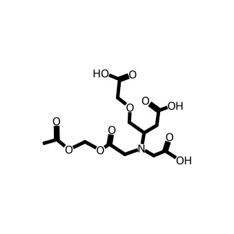 CC(=O)OCOC(=O)CN(CC(=O)O)C(COCC(=O)O)CC(=O)O